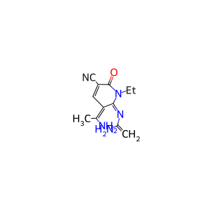 C=C(N)/N=C1\C(=C(\C)N)C=C(C#N)C(=O)N1CC